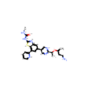 C=C(CCN)OC(C)c1ncc(-c2cc(-c3ccccn3)c3sc(NC(=O)NCC)nc3c2)cn1